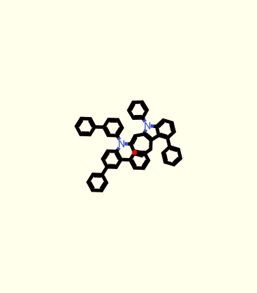 C1#CC(N(c2cccc(-c3ccccc3)c2)c2ccc(-c3ccccc3)cc2C2=CC=CCC2)=Cc2c(c3c(-c4ccccc4)cccc3n2-c2ccccc2)C1